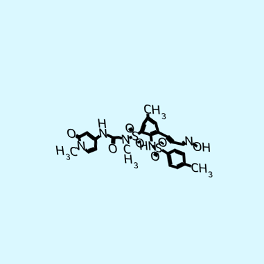 Cc1ccc(S(=O)(=O)Nc2c(C#CC=NO)cc(C)cc2S(=O)(=O)N(C)CC(=O)Nc2ccn(C)c(=O)c2)cc1